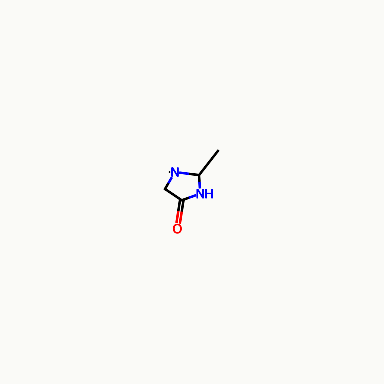 CC1[N]CC(=O)N1